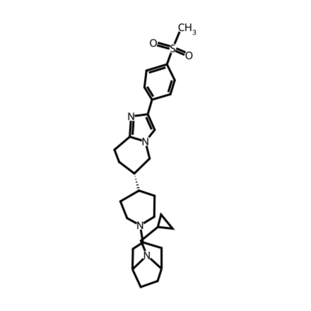 CS(=O)(=O)c1ccc(-c2cn3c(n2)CC[C@@H](C2CCN(C4CC5CCC(C4)N5CC4CC4)CC2)C3)cc1